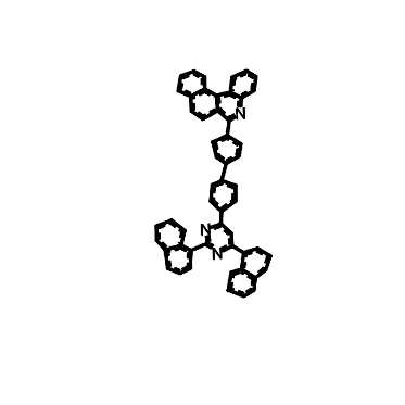 c1ccc2c(-c3cc(-c4ccc(-c5ccc(-c6nc7ccccc7c7c6ccc6ccccc67)cc5)cc4)nc(-c4cccc5ccccc45)n3)cccc2c1